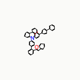 c1ccc(-c2ccc(-c3ccc(N(c4ccc(-c5ccccc5-c5cc6ccccc6o5)cc4)c4ccccc4-c4ccccc4)cc3)cc2)cc1